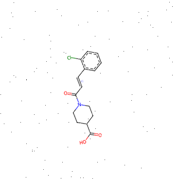 O=C(O)C1CCN(C(=O)/C=C/c2ccccc2Cl)CC1